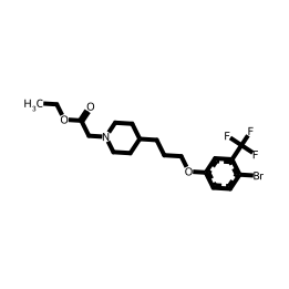 CCOC(=O)CN1CCC(CCCOc2ccc(Br)c(C(F)(F)F)c2)CC1